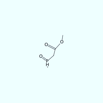 COC(=O)C[PH](C)=O